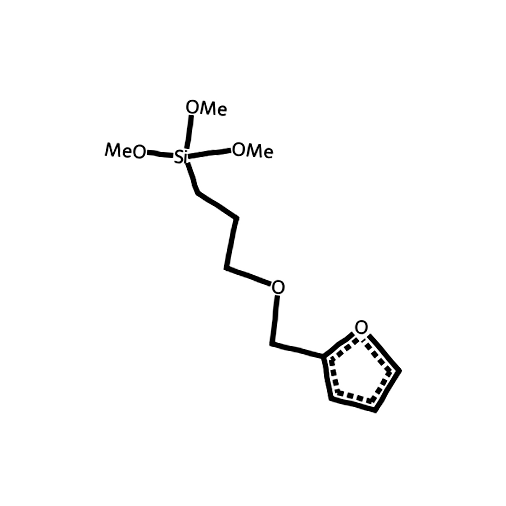 CO[Si](CCCOCc1ccco1)(OC)OC